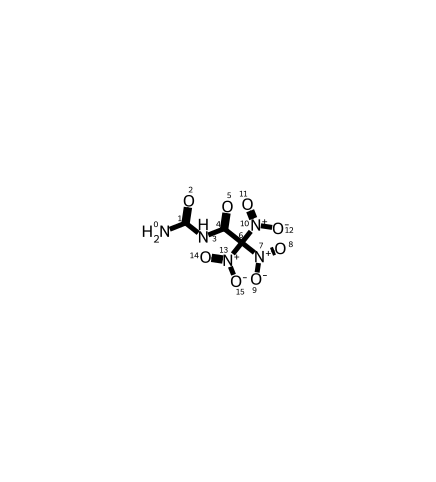 NC(=O)NC(=O)C([N+](=O)[O-])([N+](=O)[O-])[N+](=O)[O-]